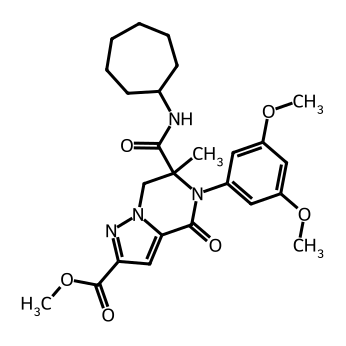 COC(=O)c1cc2n(n1)CC(C)(C(=O)NC1CCCCCC1)N(c1cc(OC)cc(OC)c1)C2=O